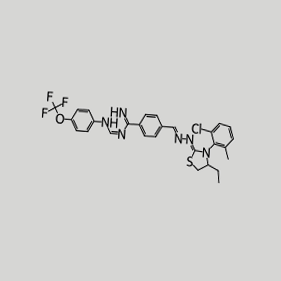 CCC1CS/C(=N\N=C\c2ccc(C(=N)/N=C\Nc3ccc(OC(F)(F)F)cc3)cc2)N1c1c(C)cccc1Cl